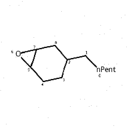 CCCCCCC1CCC2OC2C1